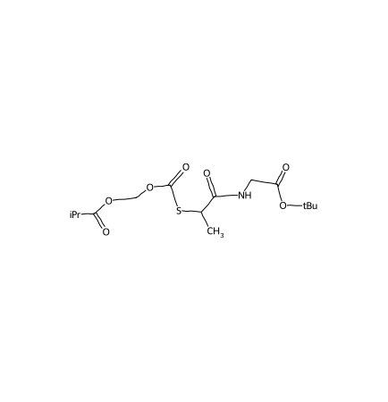 CC(C)C(=O)OCOC(=O)SC(C)C(=O)NCC(=O)OC(C)(C)C